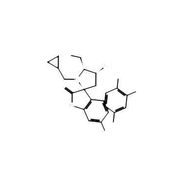 N[C@@H]1[C@H](CO)N(CC2CC2)[C@@]2(C(=O)Nc3cc(Cl)ccc32)[C@H]1c1cc(Cl)cc(Cl)c1F